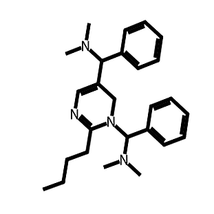 CCCCC1=NC=C(C(c2ccccc2)N(C)C)CN1C(c1ccccc1)N(C)C